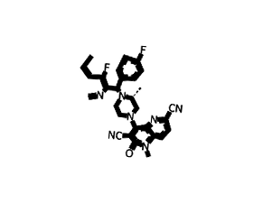 C=N/C(=C(F)\C=C/C)C(c1ccc(F)cc1)N1CCN(c2c(C#N)c(=O)n(C)c3ccc(C#N)nc23)C[C@H]1C